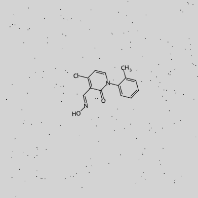 Cc1ccccc1-n1ccc(Cl)c(C=NO)c1=O